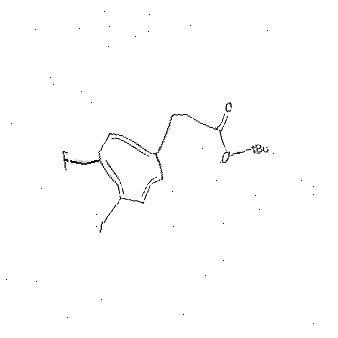 CC(C)(C)OC(=O)Cc1ccc(I)c(F)c1